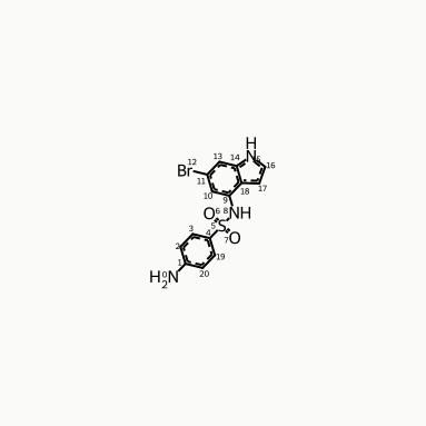 Nc1ccc(S(=O)(=O)Nc2cc(Br)cc3[nH]ccc23)cc1